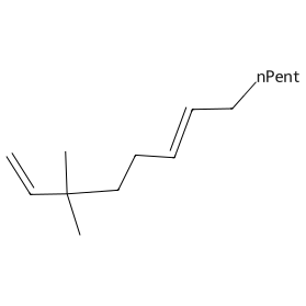 C=CC(C)(C)CCC=CCCCCCC